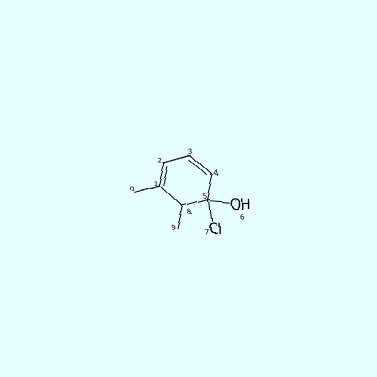 CC1=CC=CC(O)(Cl)C1C